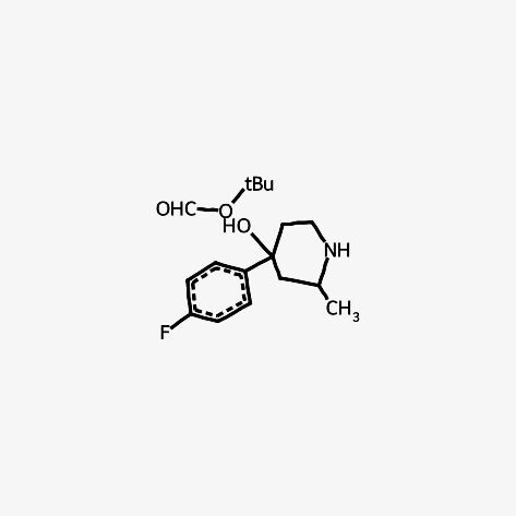 CC(C)(C)OC=O.CC1CC(O)(c2ccc(F)cc2)CCN1